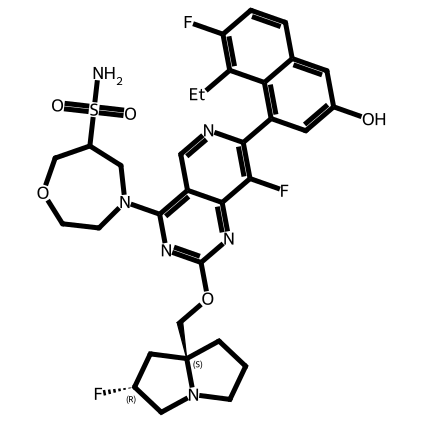 CCc1c(F)ccc2cc(O)cc(-c3ncc4c(N5CCOCC(S(N)(=O)=O)C5)nc(OC[C@@]56CCCN5C[C@H](F)C6)nc4c3F)c12